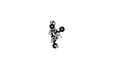 CC(CS(=O)(=O)CC(=O)c1cccnc1)C(=O)N([C@H](N)[C@@H](C)Cc1ccccc1)S(=O)(=O)c1ccc2ncsc2c1